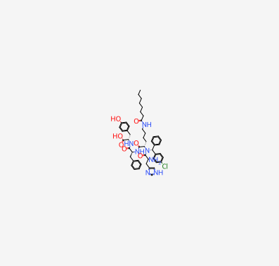 CCCCCCCC(=O)NCCCC[C@@H](C(=O)N[C@@H](Cc1ccccc1)C(=O)N[C@@H](Cc1ccc(O)cc1)C(=O)O)N(C(=O)[C@@H](N)Cc1c[nH]cn1)[C@H](c1ccccc1)c1ccc(Cl)cc1